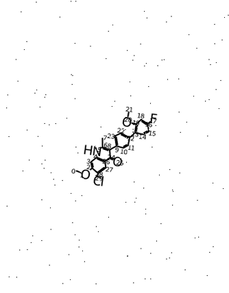 COc1cc2[nH]c(C)c(-c3ccc(-c4ccc(F)cc4OC)cc3)c(=O)c2cc1Cl